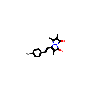 Cc1c(C)n2c(/C=C/c3ccc(C#N)cc3)c(C)c(=O)n2c1=O